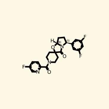 O=C(c1ccc(F)cn1)N1CCC2(CC1)O[C@@H]1CC[C@@H](c3cc(F)cc(F)c3)N1C2=O